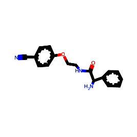 N#Cc1ccc(OCCNC(=O)C(N)c2ccccc2)cc1